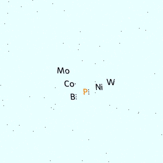 [B].[Co].[Mo].[Ni].[P].[W]